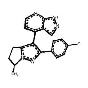 C[C@H]1CCc2c(-c3ccnc4[nH]ncc34)c(-c3ccc(F)cc3)nn21